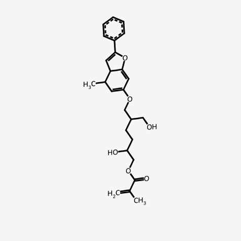 C=C(C)C(=O)OCC(O)CCC(CO)COC1=CC(C)C2C=C(c3ccccc3)OC2=C1